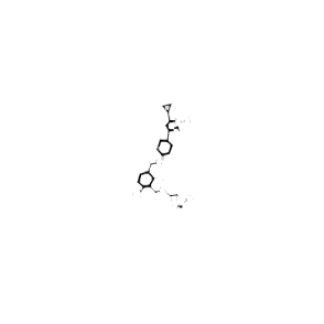 O=C(Nc1ccc(-c2cc(C3CC3)[nH]n2)cc1)c1ccc(Cl)c(CNCC[SH](=O)=O)c1